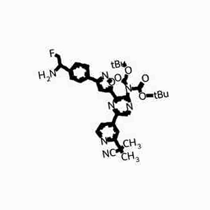 CC(C)(C)OC(=O)N(C(=O)OC(C)(C)C)c1ncc(-c2ccnc(C(C)(C)C#N)c2)nc1-c1cc(-c2ccc(C(N)CF)cc2)no1